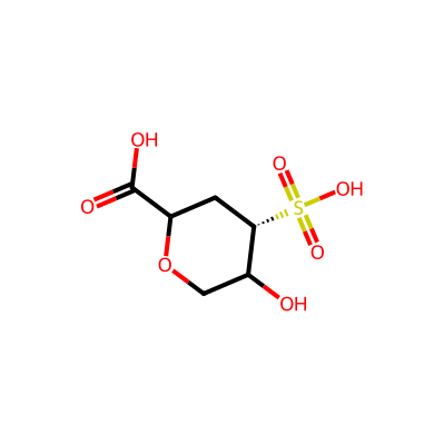 O=C(O)C1C[C@H](S(=O)(=O)O)C(O)CO1